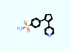 NS(=O)(=O)c1ccc(C2=CCC=C2c2ccncc2)cc1